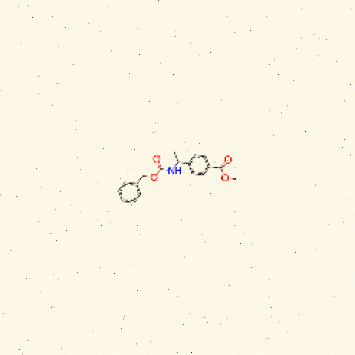 COC(=O)c1ccc(C(C)NC(=O)OCc2ccccc2)cc1